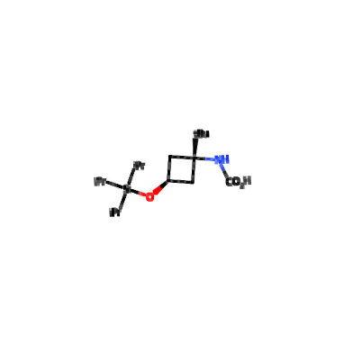 CC(C)[Si](O[C@H]1C[C@@](NC(=O)O)(C(C)(C)C)C1)(C(C)C)C(C)C